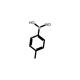 Cc1ccc(N(O)N=O)cc1